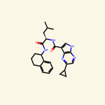 CC(C)C[C@@H](NC(=O)c1c[nH]c2ncc(C3CC3)nc12)C(=O)NC1CCCc2ccccc21